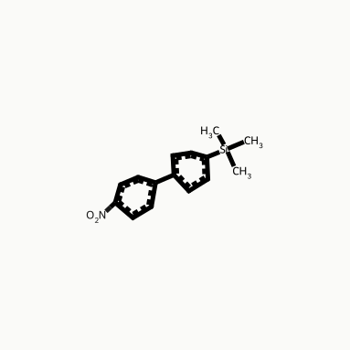 C[Si](C)(C)c1ccc(-c2ccc([N+](=O)[O-])cc2)cc1